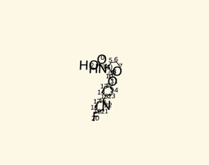 O=C(O)N[C@H]1CCCO[C@@H]1COc1ccc(-c2ccc(F)cn2)cc1